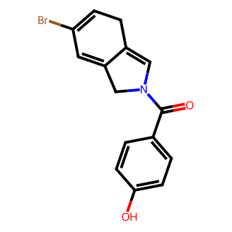 O=C(c1ccc(O)cc1)N1C=C2CC=C(Br)C=C2C1